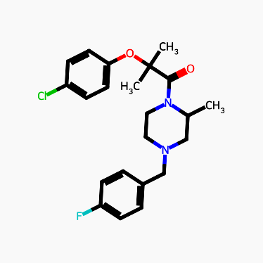 CC1CN(Cc2ccc(F)cc2)CCN1C(=O)C(C)(C)Oc1ccc(Cl)cc1